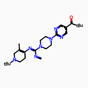 C=N/C(=N\C1=C(C)CN(C(C)(C)C)CC1)N1CCN(c2ncc(C(=O)C(C)(C)C)cn2)CC1